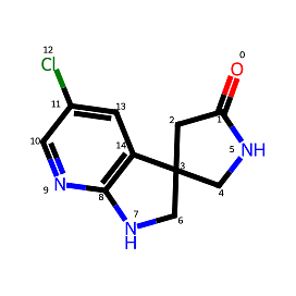 O=C1CC2(CN1)CNc1ncc(Cl)cc12